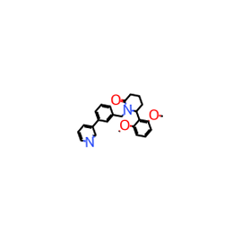 COc1cccc(OC)c1C1CCCC(=O)N1Cc1cccc(-c2cccnc2)c1